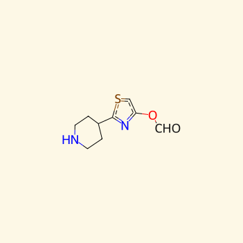 O=COc1csc(C2CCNCC2)n1